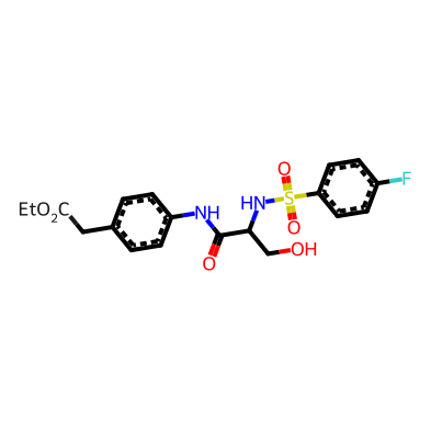 CCOC(=O)Cc1ccc(NC(=O)C(CO)NS(=O)(=O)c2ccc(F)cc2)cc1